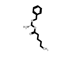 CCCCCC(=O)O[C@H](N)OCc1ccccc1